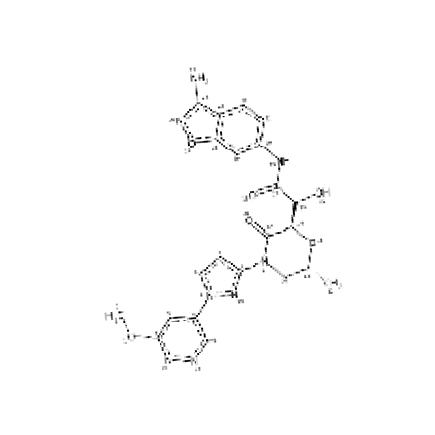 COc1cc(-n2ccc(N3C[C@@H](C)O[C@H](C(O)C(=O)Nc4ccc5c(N)noc5c4)C3=O)n2)cnn1